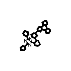 C1=CC(c2nc(-c3ccccc3)nc(-c3ccccc3)n2)=C(c2cccc(-c3ccc4c5ccccc5c5ccccc5c4c3)c2)CC1